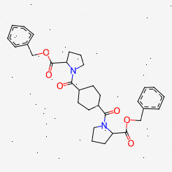 O=C(OCc1ccccc1)C1CCCN1C(=O)C1CCC(C(=O)N2CCCC2C(=O)OCc2ccccc2)CC1